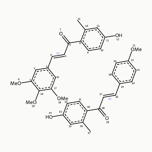 COc1cc(/C=C/C(=O)c2ccc(O)cc2C)cc(OC)c1OC.COc1ccc(/C=C/C(=O)c2ccc(O)cc2C)cc1